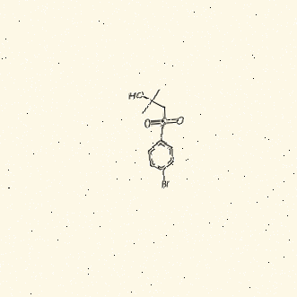 CC(C)(O)CS(=O)(=O)c1ccc(Br)cc1